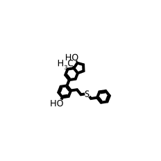 C[C@]12CC=C(c3ccc(O)cc3CCSCc3ccccc3)CC1CC[C@@H]2O